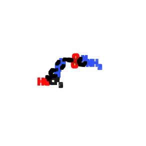 CC(O)(c1ccc(N2CCN(CC#CS(=O)(=O)c3ccc(N)nc3)CC2)nc1)C(F)(F)F